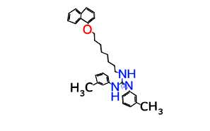 Cc1cccc(/N=C(/NCCCCCCCCOc2cccc3ccccc23)Nc2cccc(C)c2)c1